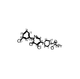 CC(C)S(=O)(=O)N1CCN(c2cnn(-c3cccc(Cl)c3)c(=O)c2Cl)CC1